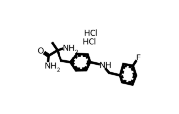 CC(N)(Cc1ccc(NCc2cccc(F)c2)cc1)C(N)=O.Cl.Cl